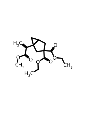 C=C(C(=O)OC)C12CC1CC(C(=O)OCC)(C(=O)OCC)C2